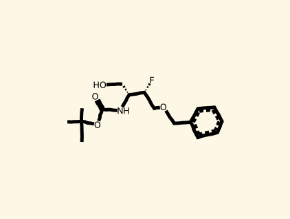 CC(C)(C)OC(=O)N[C@H](CO)[C@H](F)COCc1ccccc1